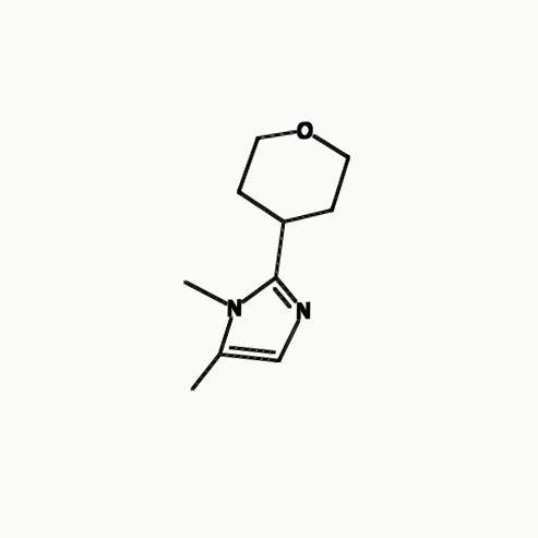 Cc1cnc(C2CCOCC2)n1C